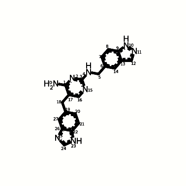 Nc1nc(NCc2ccc3[nH]ncc3c2)ncc1Cc1ccc2[nH]cnc2c1